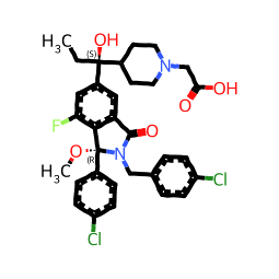 CC[C@@](O)(c1cc(F)c2c(c1)C(=O)N(Cc1ccc(Cl)cc1)[C@@]2(OC)c1ccc(Cl)cc1)C1CCN(CC(=O)O)CC1